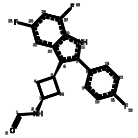 O=CN[C@H]1C[C@@H](c2c(-c3ccc(F)cc3)[nH]c3c(F)cc(F)cc32)C1